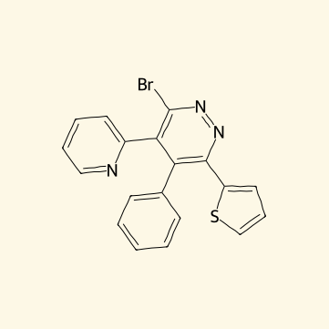 Brc1nnc(-c2cccs2)c(-c2ccccc2)c1-c1ccccn1